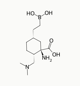 CN(C)C[C@@H]1CC[C@H](CCB(O)O)C[C@]1(N)C(=O)O